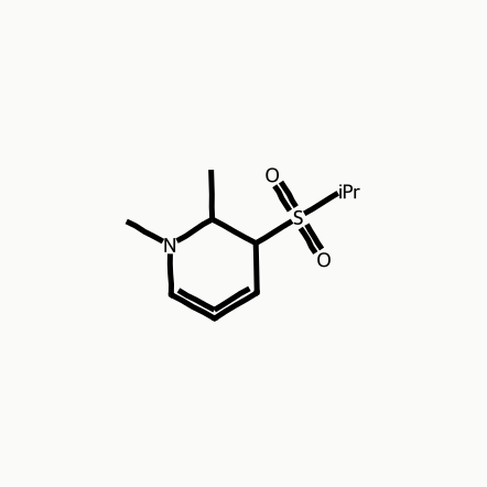 CC1C(S(=O)(=O)C(C)C)C=C=CN1C